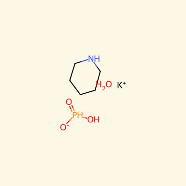 C1CCNCC1.O.O=[PH]([O-])O.[K+]